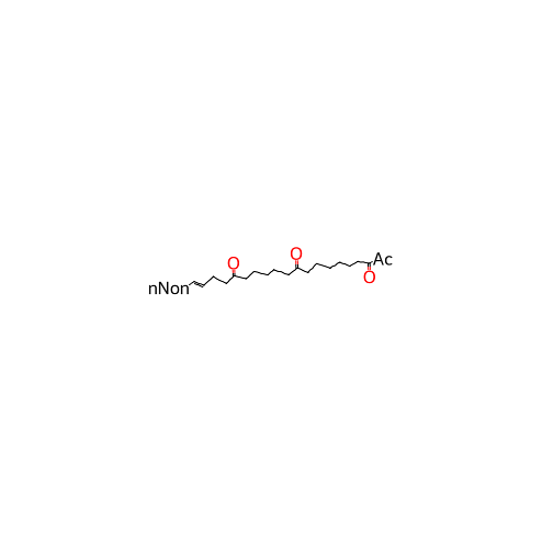 CCCCCCCCCC=CCCC(=O)CCCCCC(=O)CCCCCCC(=O)C(C)=O